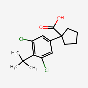 CC(C)(C)c1c(Cl)cc(C2(C(=O)O)CCCC2)cc1Cl